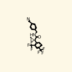 CO[C@H](C(=O)NCc1ccc(C#N)cc1)c1ccc(C(F)(F)F)cc1C(F)(F)F